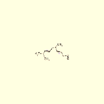 CC(C)/C=C/CC(C)/C=C/C[C]=O